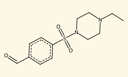 CCN1CCN(S(=O)(=O)c2ccc(C=O)cc2)CC1